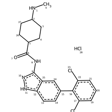 CNC1CCC(C(=O)Nc2n[nH]c3ccc(-c4c(Cl)cccc4Cl)cc23)CC1.Cl